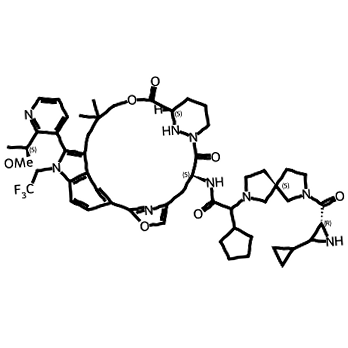 CO[C@@H](C)c1ncccc1-c1c2c3cc(ccc3n1CC(F)(F)F)-c1nc(co1)C[C@H](NC(=O)C(C1CCCC1)N1CC[C@]3(CCN(C(=O)[C@@H]4NC4C4CC4)C3)C1)C(=O)N1CCC[C@H](N1)C(=O)OCC(C)(C)C2